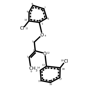 CC=C(COc1ccccc1Cl)Oc1ccccc1Cl